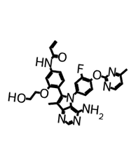 C=CC(=O)Nc1ccc(-c2c(C)c3ncnc(N)c3n2-c2ccc(Oc3nccc(C)n3)c(F)c2)c(OCCO)c1